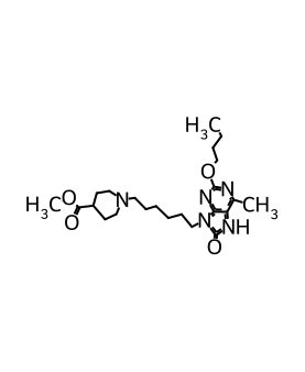 CCCCOc1nc(C)c2[nH]c(=O)n(CCCCCCN3CCC(C(=O)OC)CC3)c2n1